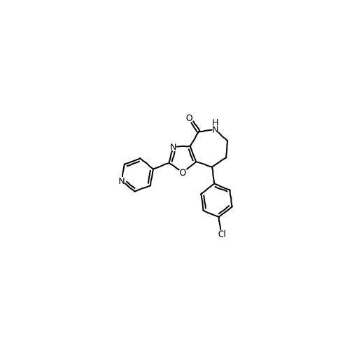 O=C1NCCC(c2ccc(Cl)cc2)c2oc(-c3ccncc3)nc21